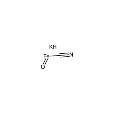 N#[C][Fe]=[O].[KH]